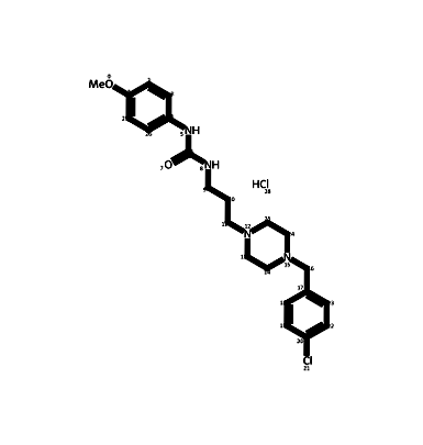 COc1ccc(NC(=O)NCCCN2CCN(Cc3ccc(Cl)cc3)CC2)cc1.Cl